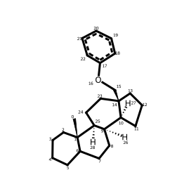 C[C@]12CCCCC1CC[C@@H]1[C@@H]3CCC[C@@]3(COc3ccccc3)CC[C@@H]12